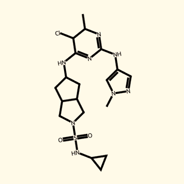 CC1N=C(Nc2cnn(C)c2)N=C(NC2CC3CN(S(=O)(=O)NC4CC4)CC3C2)C1Cl